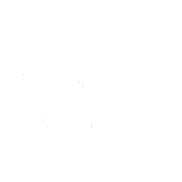 C=C(CCOC(C)=O)C(O)C(NC=O)C(=O)OCc1ccccc1